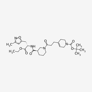 CCOC(=O)[C@H](Cc1cc(C)no1)NC(=O)[C@@H]1CCCN(C(=O)CCC2=CCN(C(=O)OC(C)(C)C)CC2)C1